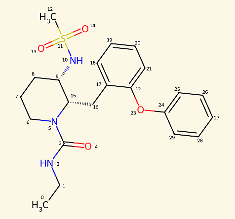 CCNC(=O)N1CCC[C@H](NS(C)(=O)=O)[C@@H]1Cc1ccccc1Oc1ccccc1